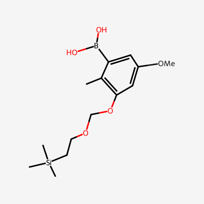 COc1cc(OCOCC[Si](C)(C)C)c(C)c(B(O)O)c1